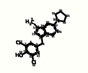 Cn1nc(Cc2cc(Cl)c(O)c(Cl)n2)c2cnc(N3CCCC3)cc21